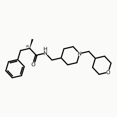 C[C@H](Cc1ccccc1)C(=O)NCC1CCN(CC2CCOCC2)CC1